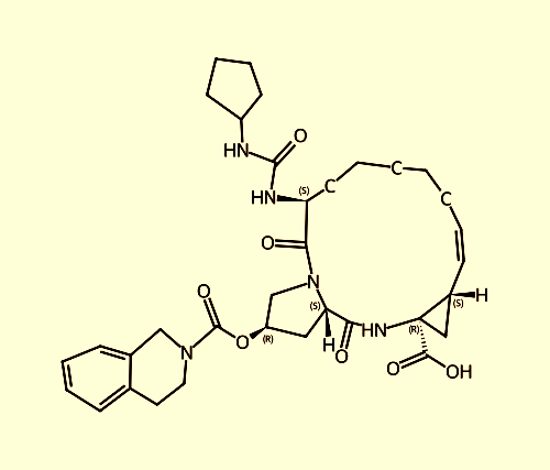 O=C(NC1CCCC1)N[C@H]1CCCCCC=C[C@@H]2C[C@@]2(C(=O)O)NC(=O)[C@@H]2C[C@@H](OC(=O)N3CCc4ccccc4C3)CN2C1=O